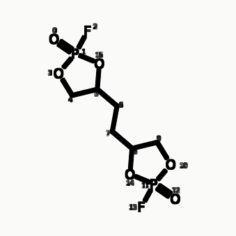 O=P1(F)OCC(CCC2COP(=O)(F)O2)O1